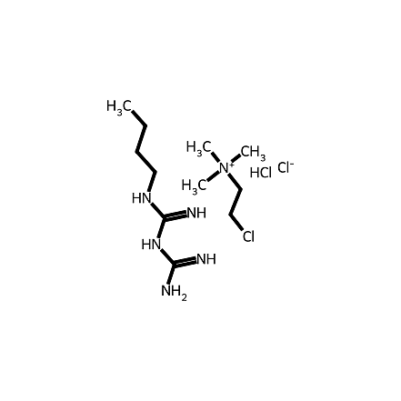 CCCCNC(=N)NC(=N)N.C[N+](C)(C)CCCl.Cl.[Cl-]